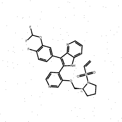 C=CS(=O)(=O)N1CCC[C@H]1COc1cnccc1-c1[nH]c2cccnc2c1-c1ccc(F)c(OC(F)F)c1